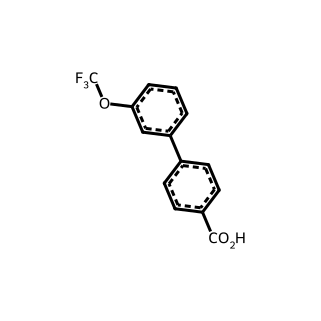 O=C(O)c1ccc(-c2cccc(OC(F)(F)F)c2)cc1